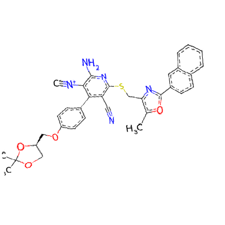 [C-]#[N+]c1c(N)nc(SCc2nc(-c3ccc4ccccc4c3)oc2C)c(C#N)c1-c1ccc(OC[C@H]2COC(C)(C)O2)cc1